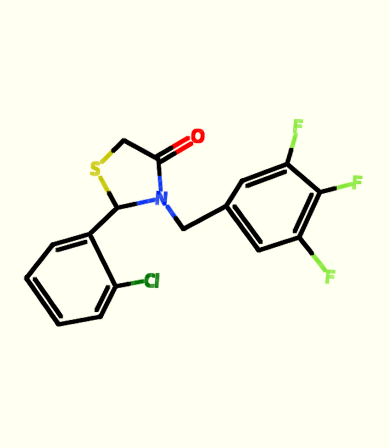 O=C1CSC(c2ccccc2Cl)N1Cc1cc(F)c(F)c(F)c1